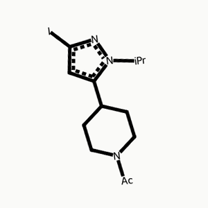 CC(=O)N1CCC(c2cc(I)nn2C(C)C)CC1